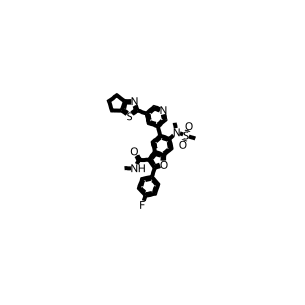 CNC(=O)c1c(-c2ccc(F)cc2)oc2cc(N(C)S(C)(=O)=O)c(-c3cncc(-c4nc5c(s4)CCC5)c3)cc12